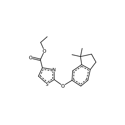 CCOC(=O)c1csc(Oc2ccc3c(c2)C(C)(C)CC3)n1